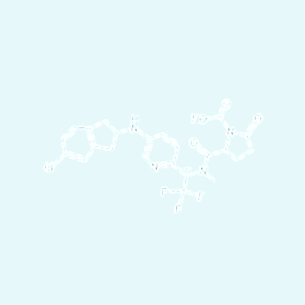 CN(C(=O)C1CCC(=O)N1C(=O)O)[C@@H](c1ccc(NC2Cc3ccc(Cl)cc3C2)cn1)C(F)(F)F